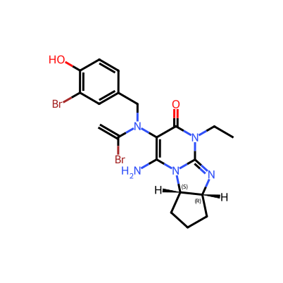 C=C(Br)N(Cc1ccc(O)c(Br)c1)C1=C(N)N2C(=N[C@@H]3CCC[C@@H]32)N(CC)C1=O